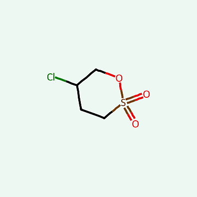 O=S1(=O)CCC(Cl)CO1